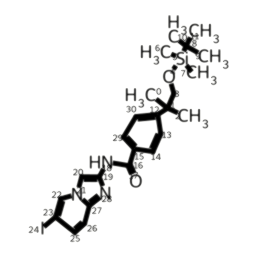 CC(C)(CO[Si](C)(C)C(C)(C)C)c1ccc(C(=O)Nc2cn3cc(I)ccc3n2)cc1